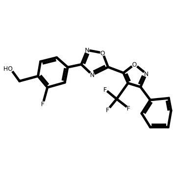 OCc1ccc(-c2noc(-c3onc(-c4ccccc4)c3C(F)(F)F)n2)cc1F